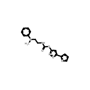 CN(CCNC(=O)Oc1cc(-c2ccco2)on1)c1ccccc1